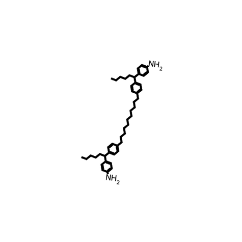 CCCCCC(c1ccc(N)cc1)c1ccc(CCCCCCCCCCCc2ccc(C(CCCCC)c3ccc(N)cc3)cc2)cc1